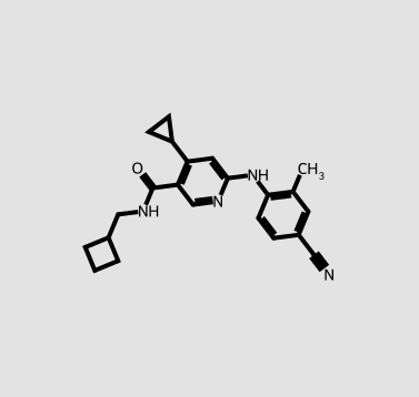 Cc1cc(C#N)ccc1Nc1cc(C2CC2)c(C(=O)NCC2CCC2)cn1